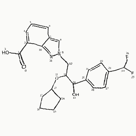 O=C(O)c1cccc2cn(CC(OC3CCCC3)C(O)c3ccc(C(F)F)cc3)nc12